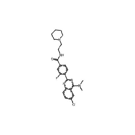 CN(C)c1nc(-c2ccc(C(=O)NCCN3CCCCC3)cc2F)nc2ccc(Cl)cc12